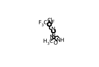 Cc1nn(-c2ccnc(Cc3cc(F)c(Cl)c(C(F)(F)F)c3)c2)c2c1C(=O)NCC2